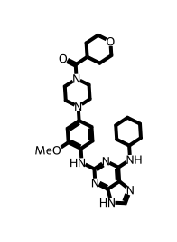 COc1cc(N2CCN(C(=O)C3CCOCC3)CC2)ccc1Nc1nc(NC2CCCCC2)c2nc[nH]c2n1